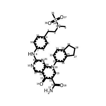 CN(CCc1ccc(Nc2ncc3c(=O)c(C(N)=O)cn(-c4ccc5c(c4)CCC5)c3n2)cc1)S(C)(=O)=O